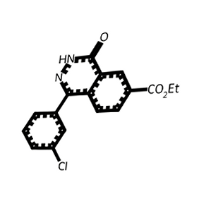 CCOC(=O)c1ccc2c(-c3cccc(Cl)c3)n[nH]c(=O)c2c1